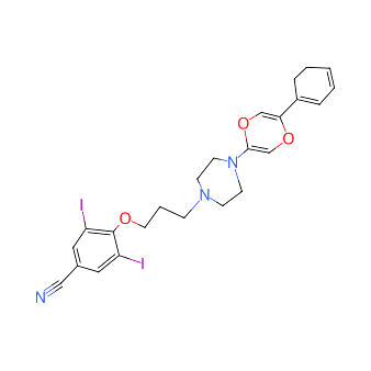 N#Cc1cc(I)c(OCCCN2CCN(C3=COC(C4=CC=CCC4)=CO3)CC2)c(I)c1